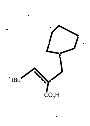 CC(C)(C)C=C(CC1CCCCC1)C(=O)O